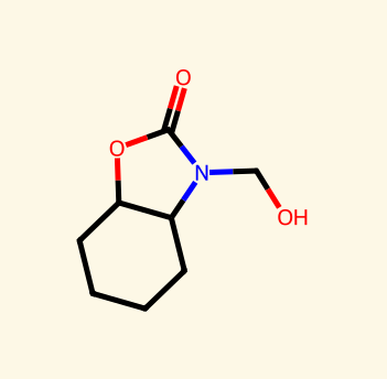 O=C1OC2CCCCC2N1CO